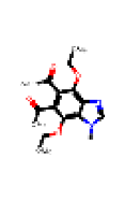 COCOc1c(C(=O)OC)c(C(=O)OC)c(OCOC)c2c1ncn2C